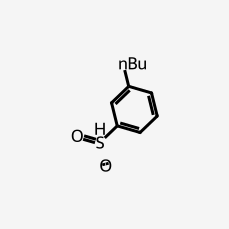 CCCCc1cccc([SH](=O)=O)c1